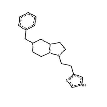 c1ccc(CC2CCC3C(CCN3CCc3c[nH]cn3)C2)cc1